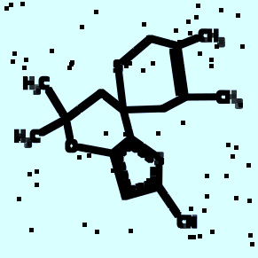 CC1=C(C)CC2(CC(C)(C)Oc3cc(C#N)sc32)SC1